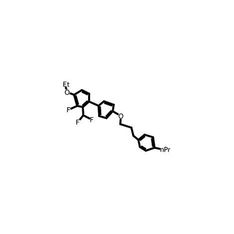 CCCc1ccc(CCCOc2ccc(-c3ccc(OCC)c(F)c3C(F)F)cc2)cc1